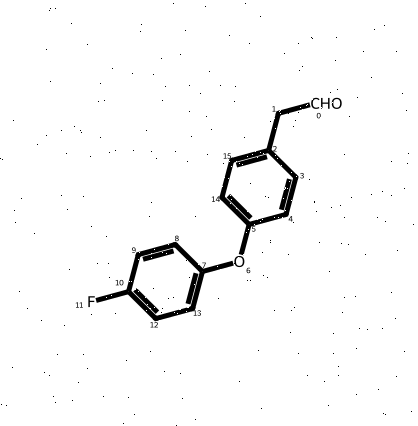 O=CCc1ccc(Oc2ccc(F)cc2)cc1